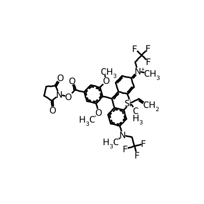 C=C[Si]1(C)C2=C/C(=[N+](\C)CC(F)(F)F)C=CC2=C(c2c(OC)cc(C(=O)ON3C(=O)CCC3=O)cc2OC)c2ccc(N(C)CC(F)(F)F)cc21